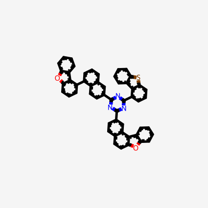 c1cc(-c2cccc3oc4ccccc4c23)c2ccc(-c3nc(-c4ccc5ccc6oc7ccccc7c6c5c4)nc(-c4cccc5sc6ccccc6c45)n3)cc2c1